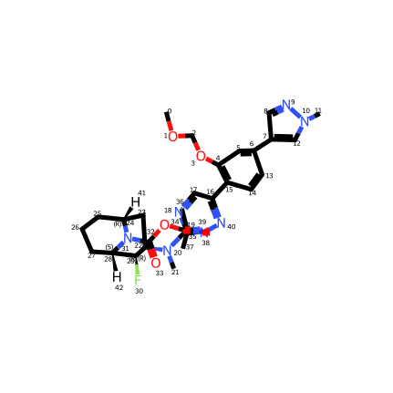 COCOc1cc(-c2cnn(C)c2)ccc1-c1cnc(N(C)[C@@H]2C[C@H]3CCC[C@@H]([C@@H]2F)N3C(=O)OC(C)(C)C)nn1